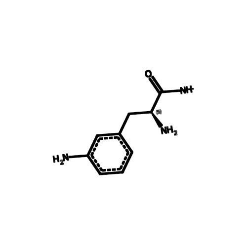 [NH]C(=O)[C@@H](N)Cc1cccc(N)c1